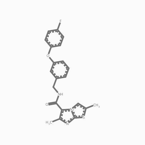 Cc1cn2c(C(=O)NCc3cccc(Oc4ccc(F)cc4)c3)c(C)nc2s1